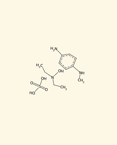 CCN(O)CC.CNc1ccc(N)cc1.O=S(=O)(O)O